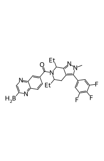 Bc1cnc2cc(C(=O)N3C(CC)Cc4c(nn(C)c4-c4cc(F)c(F)c(F)c4)C3CC)ccc2n1